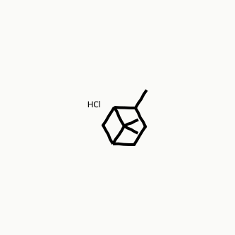 CC1CCC2CC1C2(C)C.Cl